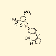 O=C1Nc2ccccc2Oc2ccc(/N=C/c3cc([N+](=O)[O-])cc([N+](=O)O)c3O)cc21